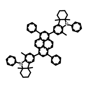 Cc1cc(-c2cc(-c3ccccc3)c3ccc4c(-c5cc(C)c6c(c5)C5(C)CCCCC5(C)N6c5ccccc5)cc(-c5ccccc5)c5ccc2c3c54)cc2c1N(c1ccccc1)C1(C)CCCCC21C